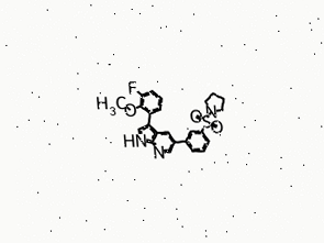 COc1c(F)cccc1-c1c[nH]c2ncc(-c3cccc(S(=O)(=O)N4CCCC4)c3)cc12